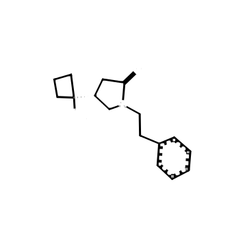 CCOC(=O)C1([C@@H]2CC(=O)N(CCc3ccccc3)C2)CCC1